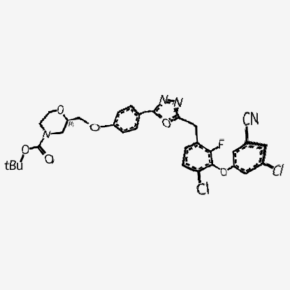 CC(C)(C)OC(=O)N1CCO[C@@H](COc2ccc(-c3nnc(Cc4ccc(Cl)c(Oc5cc(Cl)cc(C#N)c5)c4F)o3)cc2)C1